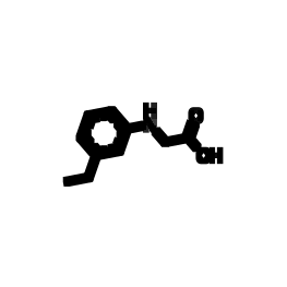 CCc1cccc(NCC(=O)O)c1